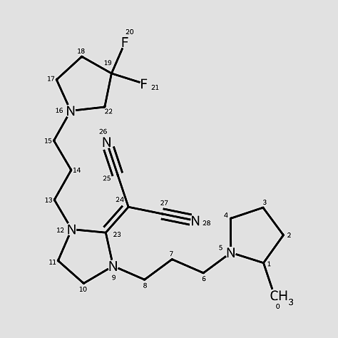 CC1CCCN1CCCN1CCN(CCCN2CCC(F)(F)C2)C1=C(C#N)C#N